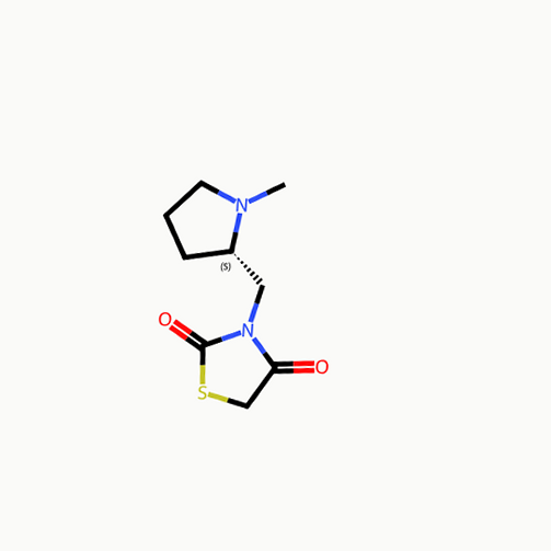 CN1CCC[C@H]1CN1C(=O)CSC1=O